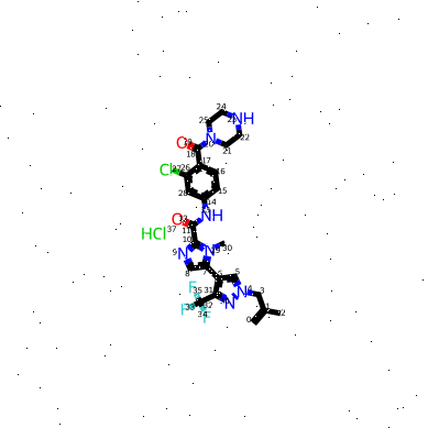 C=C(C)Cn1cc(-c2cnc(C(=O)Nc3ccc(C(=O)N4CCNCC4)c(Cl)c3)n2C)c(C(F)(F)F)n1.Cl